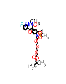 CNC(=O)c1c(-c2ccc(F)cc2)oc2cc(N(CCOCCOCCOCC(=O)OCC(C)C)S(C)(=O)=O)c(C3CC3)cc12